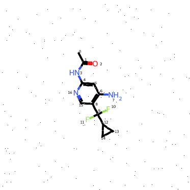 CC(=O)Nc1cc(N)c(C(F)(F)C2CC2)cn1